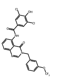 O=C(Nc1cccc2ncn(Cc3cccc(OC(F)(F)F)c3)c(=O)c12)c1cc(Cl)c(O)c(Cl)c1